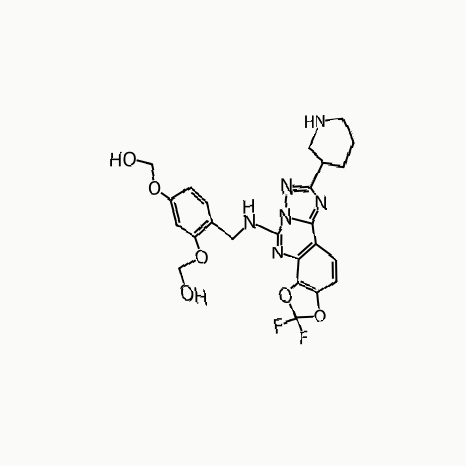 OCOc1ccc(CNc2nc3c4c(ccc3c3nc(C5CCCNC5)nn23)OC(F)(F)O4)c(OCO)c1